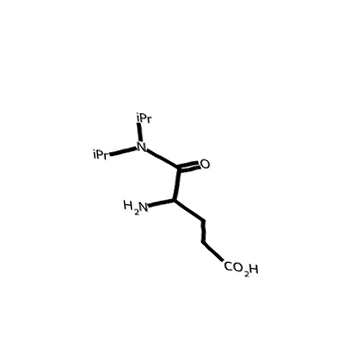 CC(C)N(C(=O)C(N)CCC(=O)O)C(C)C